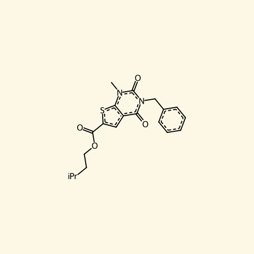 CC(C)CCOC(=O)c1cc2c(=O)n(Cc3ccccc3)c(=O)n(C)c2s1